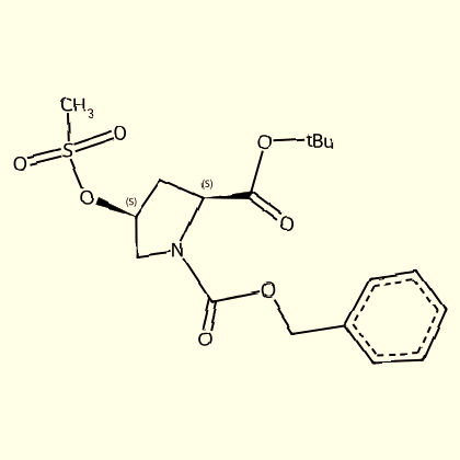 CC(C)(C)OC(=O)[C@@H]1C[C@H](OS(C)(=O)=O)CN1C(=O)OCc1ccccc1